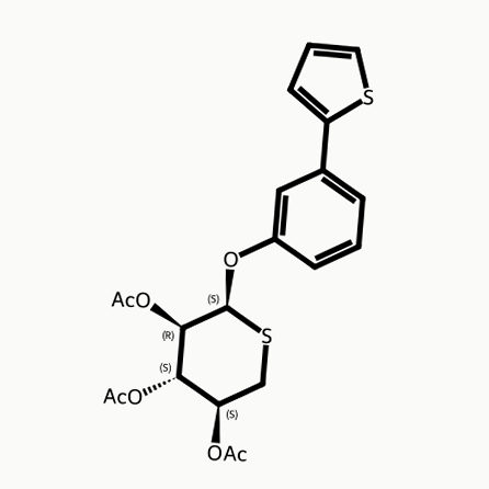 CC(=O)O[C@@H]1[C@@H](OC(C)=O)[C@@H](Oc2cccc(-c3cccs3)c2)SC[C@H]1OC(C)=O